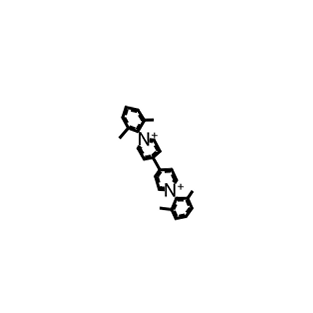 Cc1cccc(C)c1-[n+]1ccc(-c2cc[n+](-c3c(C)cccc3C)cc2)cc1